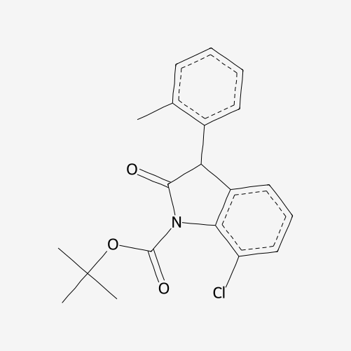 Cc1ccccc1C1C(=O)N(C(=O)OC(C)(C)C)c2c(Cl)cccc21